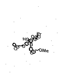 COCCCN1CCOc2ccc(CO[C@H]3CN(C(=O)OC(C)OC(=O)C(C)C)C[C@@H](O)[C@@H]3c3ccc(OCCCOc4ccccc4Cl)cc3)cc21